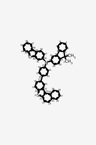 CC1(C)c2ccccc2-c2cc(N(c3ccc(-c4ccc5sc6ccc7ccccc7c6c5c4)cc3)c3ccc4c(c3)oc3ccccc34)ccc21